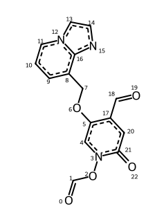 O=COn1cc(OCc2cccn3ccnc23)c(C=O)cc1=O